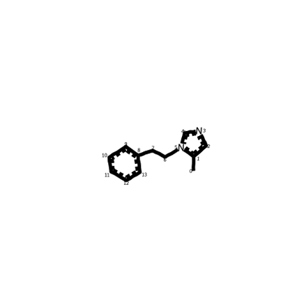 Cc1cn[c]n1CCc1ccccc1